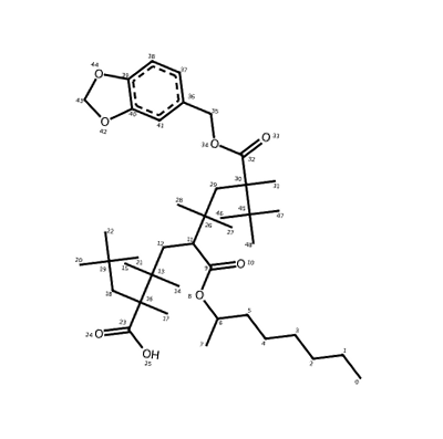 CCCCCCC(C)OC(=O)C(CC(C)(C)C(C)(CC(C)(C)C)C(=O)O)C(C)(C)CC(C)(C(=O)OCc1ccc2c(c1)OCO2)C(C)(C)C